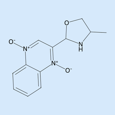 CC1COC(c2c[n+]([O-])c3ccccc3[n+]2[O-])N1